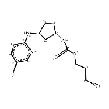 CCCCOC(=O)N[C@H]1CC[C@H](Nc2ccc(I)cn2)C1